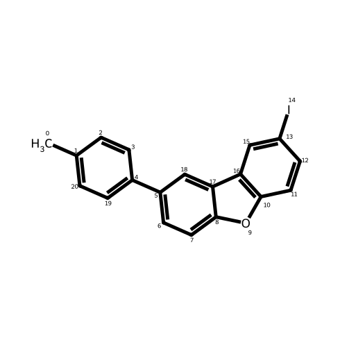 Cc1ccc(-c2ccc3oc4ccc(I)cc4c3c2)cc1